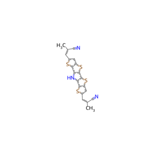 C/C(C#N)=C/c1cc2sc3c([nH]c4c5sc(/C=C(/C)C#N)cc5sc43)c2s1